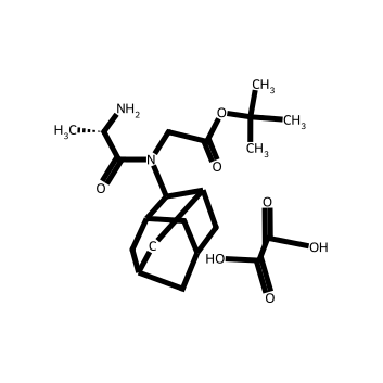 C[C@H](N)C(=O)N(CC(=O)OC(C)(C)C)C1C2CC3CC(C2)CC1C3.O=C(O)C(=O)O